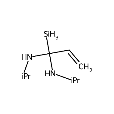 C=CC([SiH3])(NC(C)C)NC(C)C